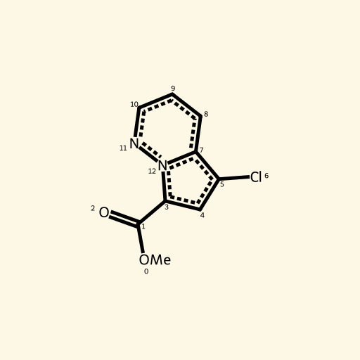 COC(=O)c1cc(Cl)c2cccnn12